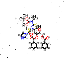 CCN(C(=O)OC(C)(C)C)C1=N[C@@H]2[C@@H](OC(=S)n3ccnc3)[C@H](OC(=O)c3ccccc3)[C@@H](COC(=O)c3ccccc3)O[C@@H]2S1